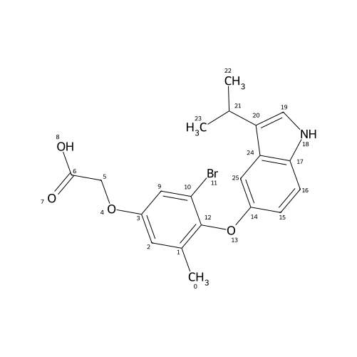 Cc1cc(OCC(=O)O)cc(Br)c1Oc1ccc2[nH]cc(C(C)C)c2c1